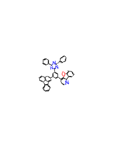 c1ccc(-c2nc(-c3ccccc3)nc(-c3cc(-c4cc5c6c(cccc6c4)-c4ccccc4-5)cc(-c4ccnc5c4oc4ccccc45)c3)n2)cc1